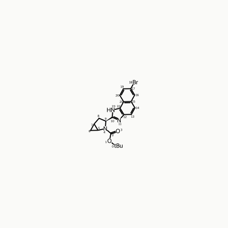 CC(C)(C)OC(=O)N1C2CC2C[C@H]1c1nc2ccc3cc(Br)ccc3c2[nH]1